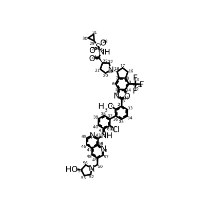 Cc1c(-c2nc3cc4c(c(C(F)(F)F)c3o2)CC[C@H]4N2CC[C@@H](C(=O)NS(=O)(=O)C3CC3)C2)cccc1-c1cccc(Nc2nccc3cc(CN4CC[C@@H](O)C4)cnc23)c1Cl